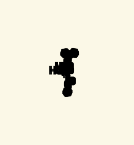 O=C(CCN1CC(O)[C@H](NC(=O)OCC2c3ccccc3-c3ccccc32)C1=O)OCc1ccccc1